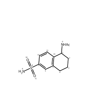 CC(=O)NC1CCCc2cc(S(N)(=O)=O)ccc21